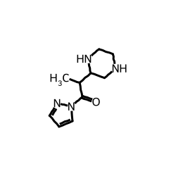 CC(C(=O)n1cccn1)C1CNCCN1